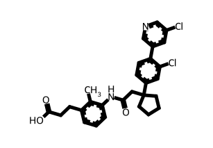 Cc1c(CCC(=O)O)cccc1NC(=O)CC1(c2ccc(-c3cncc(Cl)c3)c(Cl)c2)CCCC1